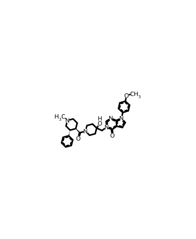 COc1ccc(-n2ccc3c(=O)n(CC4(O)CCN(C(=O)[C@@H]5CCN(C)C[C@H]5c5ccccc5)CC4)cnc32)cc1